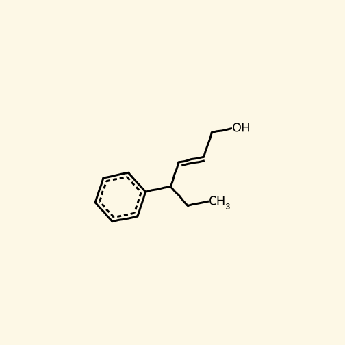 CCC(C=CCO)c1ccccc1